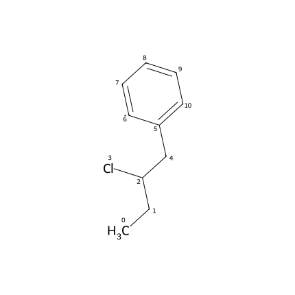 CCC(Cl)Cc1[c]cccc1